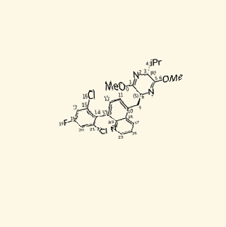 COC1=N[C@H](C(C)C)C(OC)=N[C@H]1Cc1ccc(-c2c(Cl)cc(F)cc2Cl)c2ncccc12